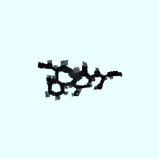 COC(=O)Oc1cc(Cl)c2c(cc(OC)c3ncccc32)n1